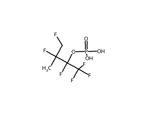 CC(F)(CF)C(F)(OP(=O)(O)O)C(F)(F)F